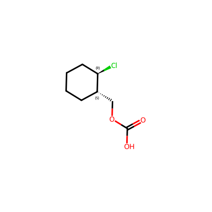 O=C(O)OC[C@@H]1CCCC[C@H]1Cl